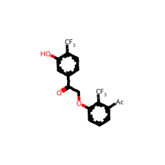 CC(=O)c1cccc(OCC(=O)c2ccc(C(F)(F)F)c(O)c2)c1C(F)(F)F